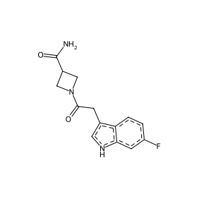 NC(=O)C1CN(C(=O)Cc2c[nH]c3cc(F)ccc23)C1